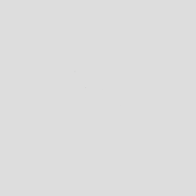 CC(=Cc1ccc2oc3ccccc3c(=O)c2c1)C(=O)O